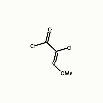 CON=C(Cl)C(=O)Cl